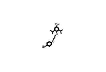 CC(C)c1cc(O)cc(C(C)C)c1OCCCOc1ccc(Br)cc1